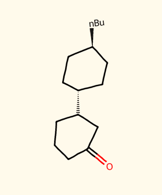 CCCC[C@H]1CC[C@H](C2CCCC(=O)C2)CC1